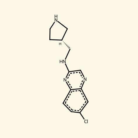 Clc1ccc2nc(NC[C@@H]3CCNC3)cnc2c1